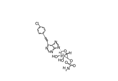 NS(=O)(=O)OC1[C@H]2O[C@@H](n3cnc4c(C#Cc5ccc(Cl)cc5)ncnc43)[C@H](O)[C@@]12O